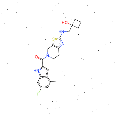 Cc1cc(F)cc2[nH]c(C(=O)N3CCc4nc(NCC5(O)CCC5)sc4C3)cc12